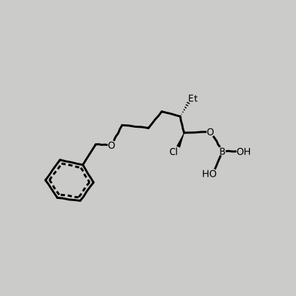 CC[C@@H](CCCOCc1ccccc1)[C@H](Cl)OB(O)O